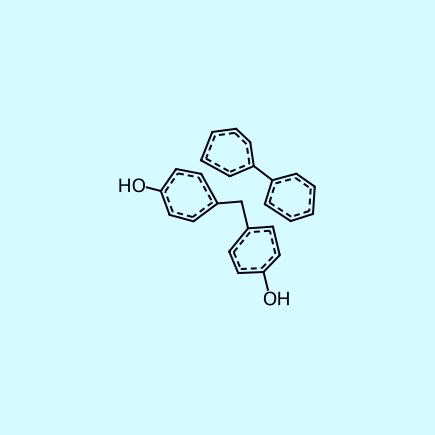 Oc1ccc(Cc2ccc(O)cc2)cc1.c1ccc(-c2ccccc2)cc1